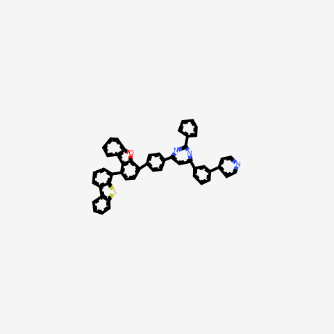 c1ccc(-c2nc(-c3ccc(-c4ccc(-c5cccc6c5sc5ccccc56)c5c4oc4ccccc45)cc3)cc(-c3cccc(-c4ccncc4)c3)n2)cc1